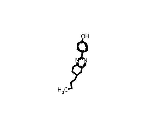 CCCCC1CCc2nc(-c3ccc(O)cc3)ncc2C1